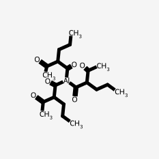 CCCC(C(C)=O)[C](=O)[Al]([C](=O)C(CCC)C(C)=O)[C](=O)C(CCC)C(C)=O